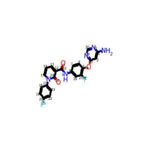 Nc1cc(Oc2ccc(NC(=O)c3cccn(-c4ccc(F)cc4)c3=O)cc2F)ncn1